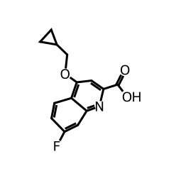 O=C(O)c1cc(OCC2CC2)c2ccc(F)cc2n1